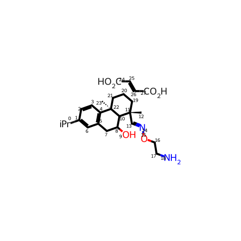 CC(C)c1ccc2c(c1)CC(O)C1[C@@](C)(C=NOCCN)CCC[C@]21C.O=C(O)/C=C/C(=O)O